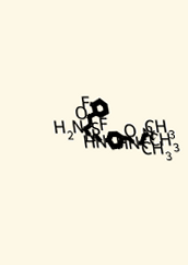 C[C@H](CN(C)C)NC(=O)c1ccc(NC2=NC(N)C(C(=O)c3c(F)cccc3F)S2)cc1